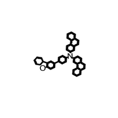 C1=CC2Oc3ccc(-c4ccc(N(c5ccc6c(ccc7ccccc76)c5)c5ccc6ccc7ccccc7c6c5)cc4)cc3C2C=C1